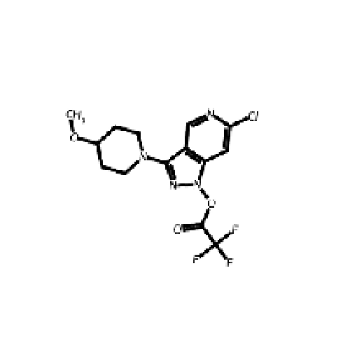 COC1CCN(c2nn(OC(=O)C(F)(F)F)c3cc(Cl)ncc23)CC1